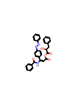 O=C(C=C(NC(=O)c1ccccc1)c1ccc(N=Nc2ccccc2)cc1)OC(=O)C(O)Cc1ccccc1